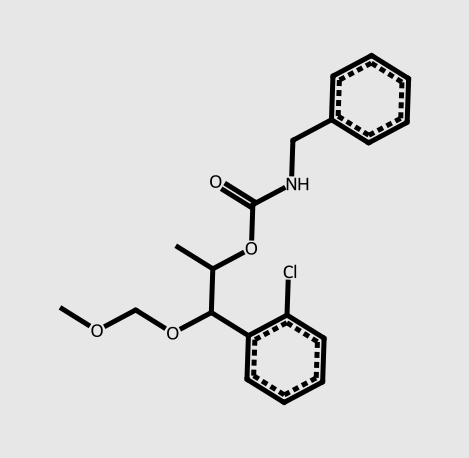 COCOC(c1ccccc1Cl)C(C)OC(=O)NCc1ccccc1